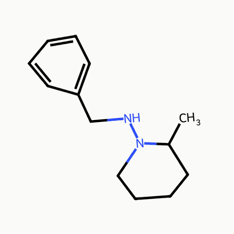 CC1CCCCN1NCc1ccccc1